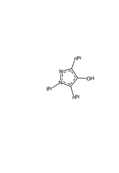 CCCc1nn(C(C)C)c(CCC)c1O